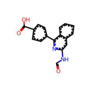 O=CNc1cc2ccccc2c(-c2ccc(C(=O)O)cc2)n1